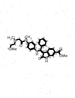 COCCN(C)CC(=O)N(C)c1ccc(N/C(=C2\C(=O)Nc3cc(C(=O)OC)ccc32)c2ccccc2)cc1